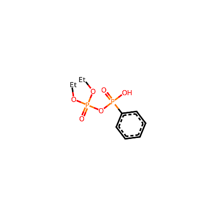 CCOP(=O)(OCC)OP(=O)(O)c1ccccc1